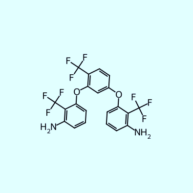 Nc1cccc(Oc2ccc(C(F)(F)F)c(Oc3cccc(N)c3C(F)(F)F)c2)c1C(F)(F)F